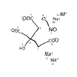 O=C([O-])CC(O)(CC(=O)[O-])C(=O)[O-].O=N[O-].[Na+].[Na+].[Na+].[Na+]